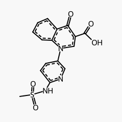 CS(=O)(=O)Nc1ccc(-n2cc(C(=O)O)c(=O)c3ccccc32)cn1